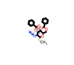 CS[C@@H]1OC2COC(c3ccccc3)O[C@H]2[C@@H](OC(=O)c2ccccc2)C1N=[N+]=[N-]